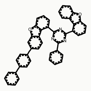 c1ccc(-c2ccc(-c3ccc4c(c3)oc3cccc(-c5nc(-c6ccccc6)nc(-c6cccc7oc8ccccc8c67)n5)c34)cc2)cc1